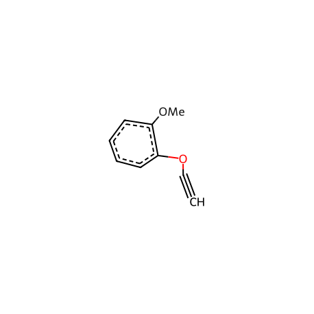 C#COc1ccccc1OC